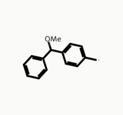 [CH2]c1ccc(C(OC)c2ccccc2)cc1